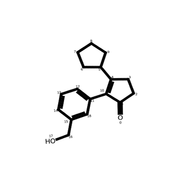 O=C1CCC(C2CCCC2)=C1c1cccc(CO)c1